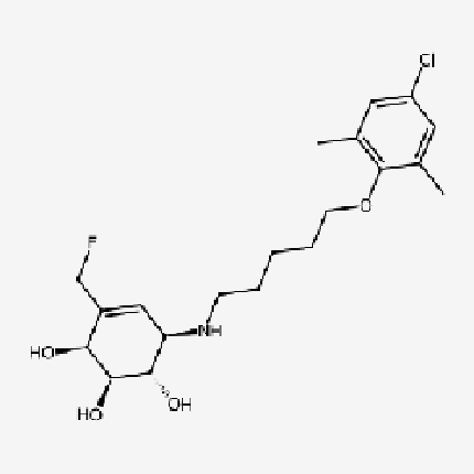 Cc1cc(Cl)cc(C)c1OCCCCCN[C@@H]1C=C(CF)[C@H](O)[C@H](O)[C@H]1O